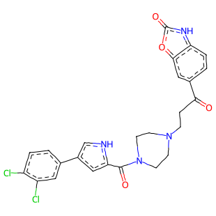 O=C(CCN1CCN(C(=O)c2cc(-c3ccc(Cl)c(Cl)c3)c[nH]2)CC1)c1ccc2[nH]c(=O)oc2c1